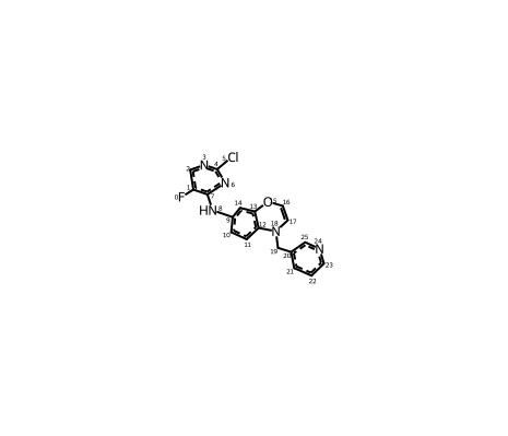 Fc1cnc(Cl)nc1Nc1ccc2c(c1)OC=CN2Cc1cccnc1